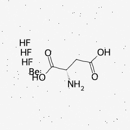 F.F.F.N[C@@H](CC(=O)O)C(=O)O.[Be]